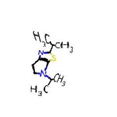 CC(C)c1nc2c(s1)N(C(C)C)CC2